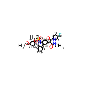 CNC(=O)c1c(-c2ccc(F)cc2)oc2cc(N(Cc3ccc(OC)cc3)S(C)(=O)=O)c(-c3ccccc3)cc12